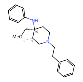 COC[C@]1(Nc2ccccc2)CCN(CCc2ccccc2)C[C@@H]1C